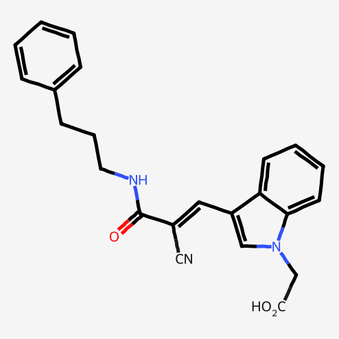 N#C/C(=C\c1cn(CC(=O)O)c2ccccc12)C(=O)NCCCc1ccccc1